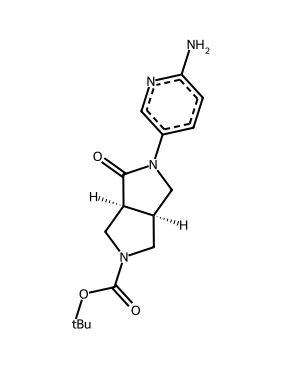 CC(C)(C)OC(=O)N1C[C@@H]2CN(c3ccc(N)nc3)C(=O)[C@@H]2C1